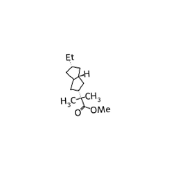 CC[C@H]1CC2C[C@@H](C(C)(C)C(=O)OC)C[C@H]2C1